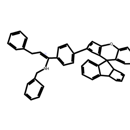 C1=CC2c3ccccc3C3(c4ccccc4Oc4ccc(-c5ccc(/C(=C/Cc6ccccc6)NCc6ccccc6)cc5)cc43)C2C=C1